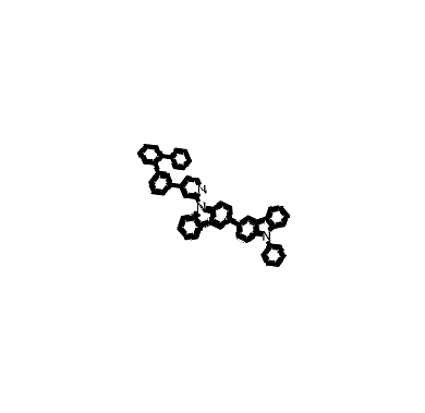 c1ccc(-c2ccccc2-c2cccc(-c3ccnc(-n4c5ccccc5c5cc(-c6ccc7c(c6)c6ccccc6n7-c6ccccc6)ccc54)c3)c2)cc1